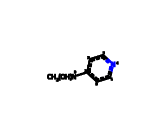 CN(O)c1ccncc1